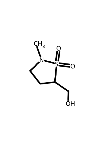 CN1CCC(CO)S1(=O)=O